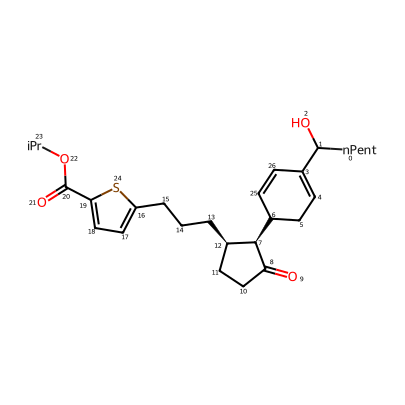 CCCCCC(O)C1=CCC([C@H]2C(=O)CC[C@H]2CCCc2ccc(C(=O)OC(C)C)s2)C=C1